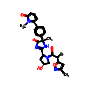 Cc1cc(C(C(=O)N2C[C@H](O)C[C@H]2C2=NC(=O)[C@](C)(c3ccc(-c4cccc(=O)n4C)cc3)N2)C(C)C)on1